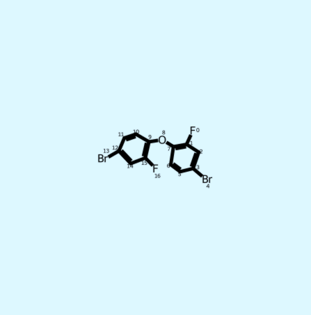 Fc1cc(Br)ccc1Oc1ccc(Br)cc1F